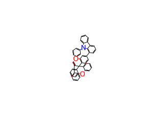 c1ccc(-c2cccc3c2C2(c4ccccc4Oc4ccccc42)c2ccc(-c4cccc5c6ccccc6n(-c6ccccc6)c45)cc2O3)cc1